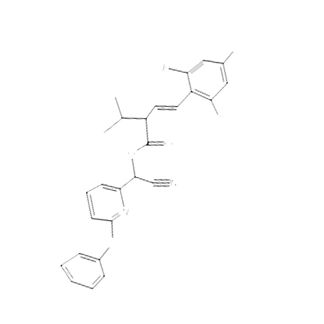 CC(C)C(C=Cc1c(F)cc(Cl)cc1F)C(=O)OC(C#N)c1cccc(Oc2ccccc2)n1